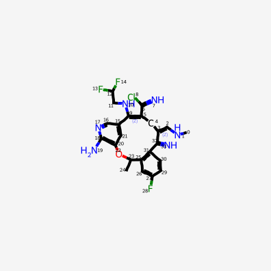 CN/C=C1/C/C(C(=N)Cl)=C(/NCC(F)F)c2cnc(N)c(c2)OC(C)c2cc(F)ccc2C1=N